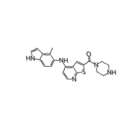 Cc1c(Nc2ccnc3sc(C(=O)N4CCNCC4)cc23)ccc2[nH]ccc12